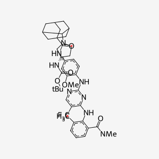 CNC(=O)c1cccc(C)c1Nc1nc(Nc2ccc(NC(=O)C34CC5CC(C3)C(N3CC[C@H](NC(=O)OC(C)(C)C)C3)C(C5)C4)cc2OC)ncc1C(F)(F)F